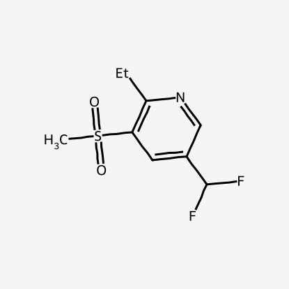 CCc1ncc(C(F)F)cc1S(C)(=O)=O